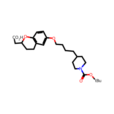 CC(C)(C)OC(=O)N1CCC(CCCCOc2ccc3c(c2)CCC(CC(=O)O)O3)CC1